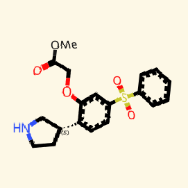 COC(=O)COc1cc(S(=O)(=O)c2ccccc2)ccc1[C@@H]1CCNC1